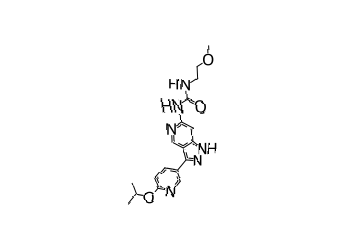 COCCNC(=O)Nc1cc2[nH]nc(-c3ccc(OC(C)C)nc3)c2cn1